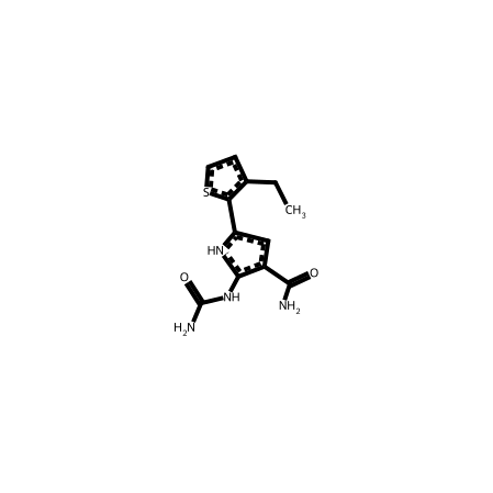 CCc1ccsc1-c1cc(C(N)=O)c(NC(N)=O)[nH]1